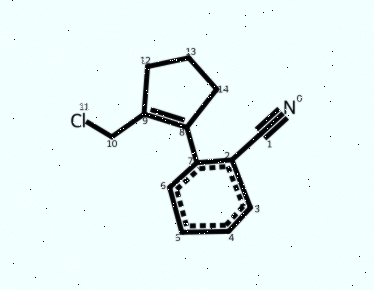 N#Cc1ccccc1C1=C(CCl)CCC1